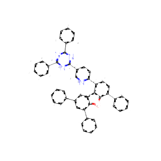 c1ccc(-c2cc(-c3ccccc3)c3oc4c(-c5ccccc5)ccc(-c5ccc(-c6nc(-c7ccccc7)nc(-c7ccccc7)n6)cn5)c4c3c2)cc1